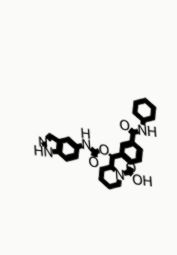 O=C(Nc1ccc2[nH]ncc2c1)O[C@@H](c1cccc(C(=O)NC2CCCCC2)c1)C1CCCCN1C(=O)O